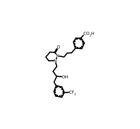 O=C(O)c1ccc(CCCN2C(=O)CCCN2CCC(O)Cc2cccc(C(F)(F)F)c2)cc1